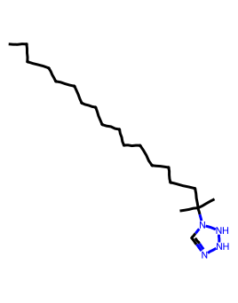 CCCCCCCCCCCCCCCCC(C)(C)N1C=NNN1